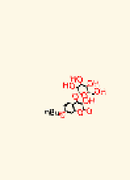 CCCCOc1ccc2c(O[C@H]3O[C@H](CO)[C@@H](O)[C@H](O)[C@@H]3O)c(O)c(=O)oc2c1